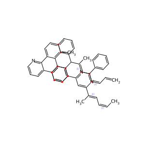 C=C/C=C\C/C=C(\C)C(c1ccccc1)c1ccccc1-c1c(C)cccc1-c1ncccc1-c1ccc(-c2cc(/C(C)=C/C=C\C)nc(-c3ccccc3)n2)cc1